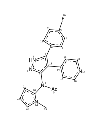 CC(=O)N(c1n[nH]c(-c2ccc(F)cc2)c1-c1ccncc1)c1cccn1C